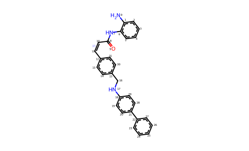 Nc1ccccc1NC(=O)/C=C\c1ccc(CNc2ccc(-c3ccccc3)cc2)cc1